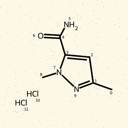 Cc1cc(C(N)=O)n(C)n1.Cl.Cl